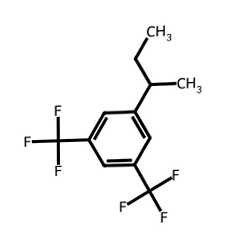 CCC(C)c1cc(C(F)(F)F)cc(C(F)(F)F)c1